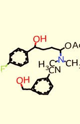 CC(=O)OC(CCC(O)c1ccc(F)cc1)N(C)C.N#Cc1cccc(CO)c1